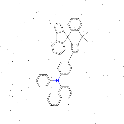 CC1(C)c2ccccc2C2(c3ccccc3-c3ccccc32)c2cc(-c3ccc(N(c4ccccc4)c4cccc5ccccc45)cc3)ccc21